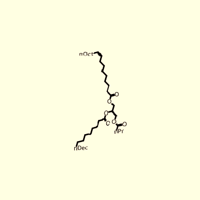 CCCCCCCC/C=C\CCCCCCCC(=O)OCC(COC(=O)CCC)OC(=O)CCCCCCCCCCCCCCCCC